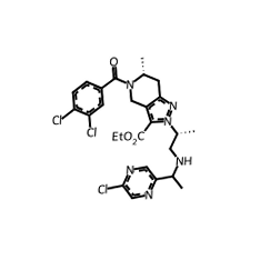 CCOC(=O)c1c2c(nn1[C@H](C)CNC(C)c1cnc(Cl)cn1)C[C@@H](C)N(C(=O)c1ccc(Cl)c(Cl)c1)C2